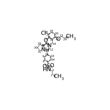 CCCNS(=O)(=O)c1ccc(CCN(Cc2cc(Cl)ccc2OCCC)C(=O)[C@@H]2CCCN2)cc1